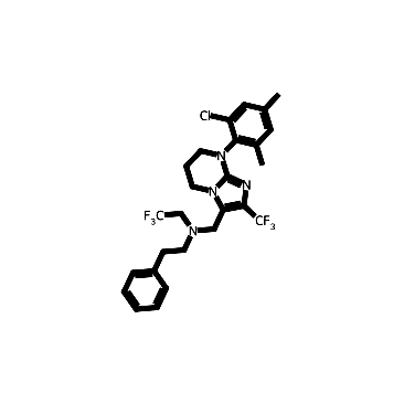 Cc1cc(C)c(N2CCCn3c2nc(C(F)(F)F)c3CN(CCc2ccccc2)CC(F)(F)F)c(Cl)c1